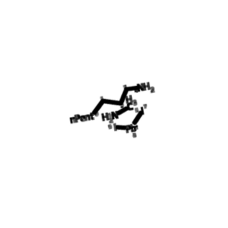 CCCCCCCCN.CN.[I][Pb][I]